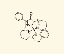 Cn1c(C([C@@H]2CCCc3ccccc32)(N2CCCCCC2)N2CCCCCC2)c(Br)c(=O)n1-c1ccccc1